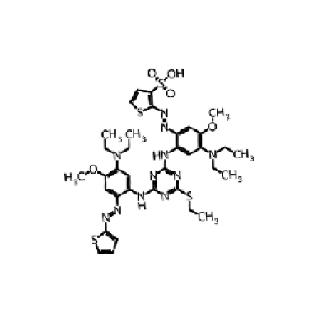 CCSc1nc(Nc2cc(N(CC)CC)c(OC)cc2/N=N/c2cccs2)nc(Nc2cc(N(CC)CC)c(OC)cc2/N=N/c2sccc2S(=O)(=O)O)n1